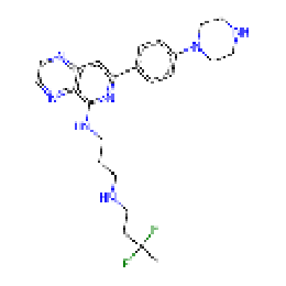 CC(F)(F)CCNCCCNc1nc(-c2ccc(N3CCNCC3)cc2)cc2nccnc12